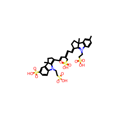 Cc1ccc2c(c1)C1(C)CC\C(=C/C=C(/C=C/C3=C4N(CCS(=O)(=O)O)c5ccc(S(=O)(=O)O)cc5C4(C)CC3)CS(=O)(=O)O)C1=[N+]2CCS(=O)(=O)O